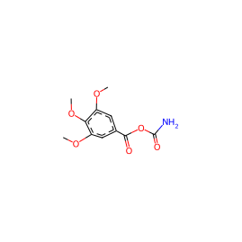 COc1cc(C(=O)OC(N)=O)cc(OC)c1OC